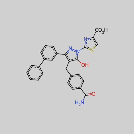 NC(=O)c1ccc(Cc2c(-c3cccc(-c4ccccc4)c3)nn(-c3nc(C(=O)O)cs3)c2O)cc1